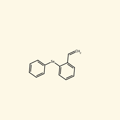 C=Cc1ccccc1[Se]c1ccccc1